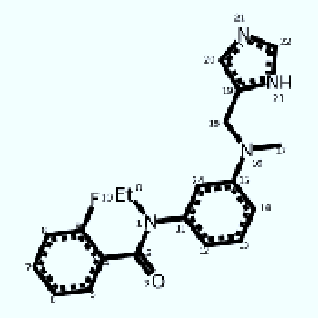 CCN(C(=O)c1ccccc1F)c1cccc(N(C)Cc2cnc[nH]2)c1